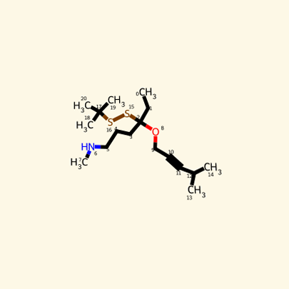 CCC(CCCNC)(OCC#CC(C)C)SSC(C)(C)C